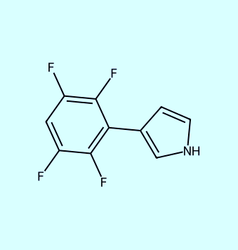 Fc1cc(F)c(F)c(-c2cc[nH]c2)c1F